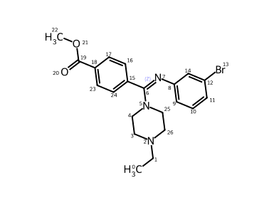 CCN1CCN(/C(=N\c2cccc(Br)c2)c2ccc(C(=O)OC)cc2)CC1